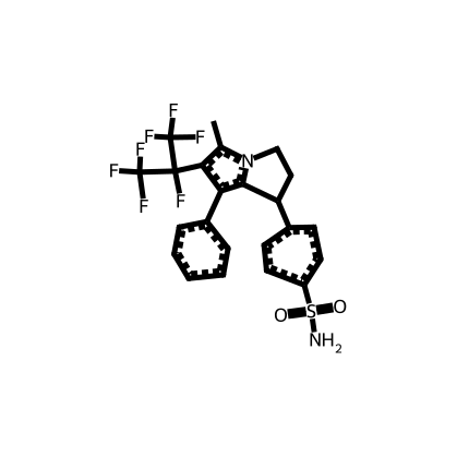 Cc1c(C(F)(C(F)(F)F)C(F)(F)F)c(-c2ccccc2)c2n1CCC2c1ccc(S(N)(=O)=O)cc1